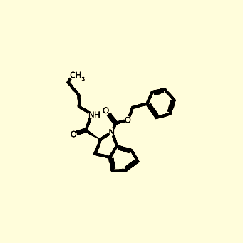 CCCCNC(=O)[C@@H]1Cc2ccccc2N1C(=O)OCc1ccccc1